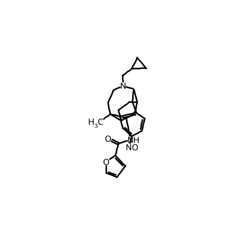 CC12CCN(CC3CC3)C(Cc3ccc(N=O)cc31)C1CCC(NC(=O)c3ccco3)C2CC1